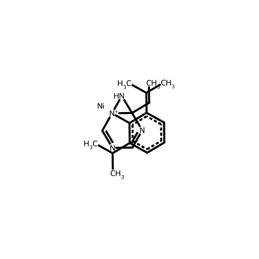 CCC12N=CN=C[N+]1(c1c(C(C)C)cccc1C(C)C)N2.[Ni]